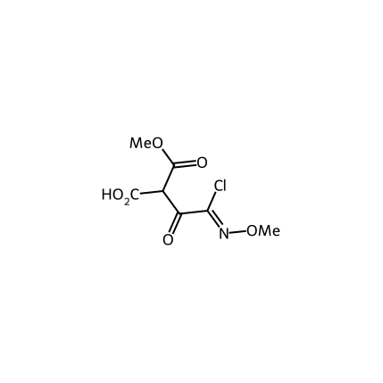 CON=C(Cl)C(=O)C(C(=O)O)C(=O)OC